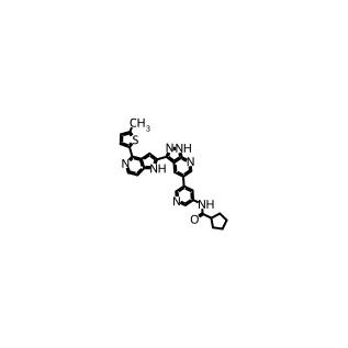 Cc1ccc(-c2nccc3[nH]c(-c4n[nH]c5ncc(-c6cncc(NC(=O)C7CCCC7)c6)cc45)cc23)s1